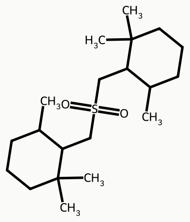 CC1CCCC(C)(C)C1CS(=O)(=O)CC1C(C)CCCC1(C)C